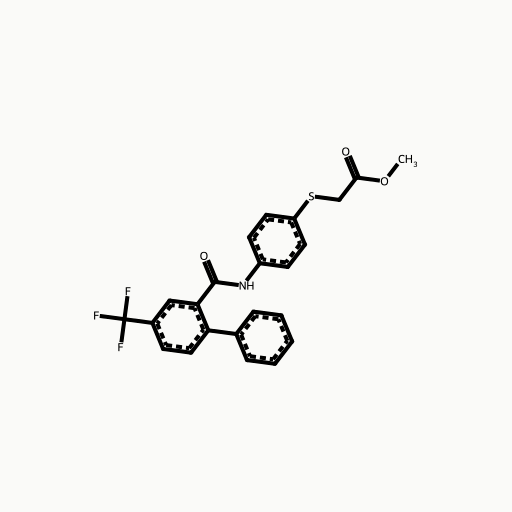 COC(=O)CSc1ccc(NC(=O)c2cc(C(F)(F)F)ccc2-c2ccccc2)cc1